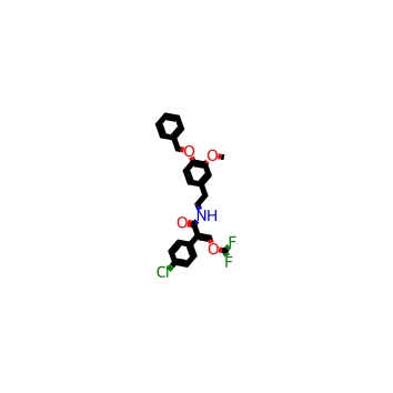 COc1cc(CCNC(=O)C(=COC(F)F)c2ccc(Cl)cc2)ccc1OCc1ccccc1